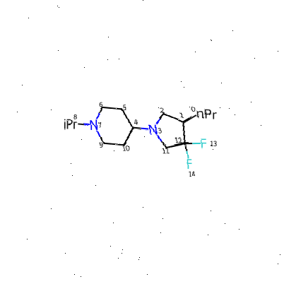 CCCC1CN(C2CCN(C(C)C)CC2)CC1(F)F